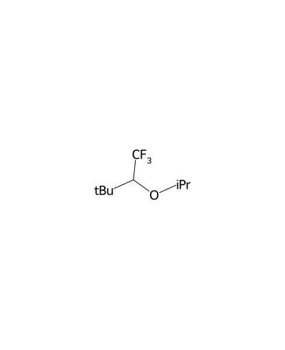 CC(C)OC(C(C)(C)C)C(F)(F)F